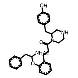 CC(=O)NC(Cc1ccccc1)Oc1ccccc1CCC(=O)N1CCNCC1Cc1ccc(O)cc1